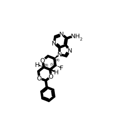 Nc1ncnc2c1ncn2[C@@H]1CO[C@@H]2COC(c3ccccc3)O[C@H]2[C@H]1F